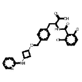 O=C(NC(Cc1ccc(CO[C@H]2C[C@@H](Nc3ccccn3)C2)cc1)C(=O)O)c1c(Cl)cccc1Cl